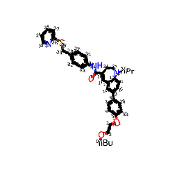 CCCCOCCOc1ccc(-c2ccc3c(c2)C=C(C(=O)Nc2ccc(CSc4ccccn4)cc2)CCN3CCC)cc1